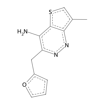 Cc1csc2c(N)c(Cc3ccco3)nnc12